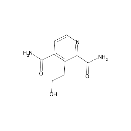 NC(=O)c1ccnc(C(N)=O)c1CCO